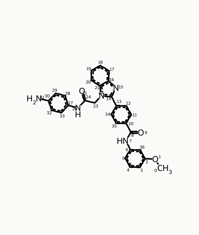 COc1cccc(NC(=O)c2ccc(-c3nc4ccccc4n3CC(=O)Nc3ccc(N)cc3)cc2)c1